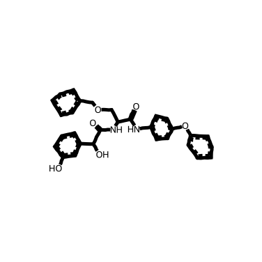 O=C(Nc1ccc(Oc2ccccc2)cc1)C(COCc1ccccc1)NC(=O)C(O)c1cccc(O)c1